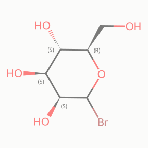 OC[C@H]1OC(Br)[C@@H](O)[C@@H](O)[C@@H]1O